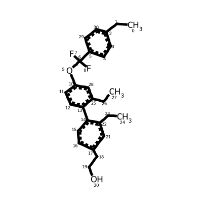 CCc1ccc(C(F)(F)Oc2ccc(-c3ccc(CCO)cc3CC)c(CC)c2)cc1